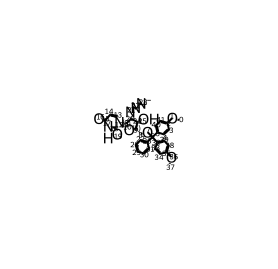 COc1ccc(C(OC[C@@H]2O[C@H](n3ccc(=O)[nH]c3=O)C(N=[N+]=[N-])C2O)(c2ccccc2)c2ccc(OC)cc2)cc1